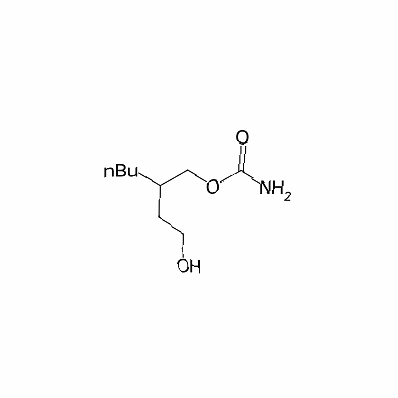 CCCCC(CCO)COC(N)=O